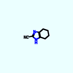 N#Cc1nc2c([nH]1)CCCC2